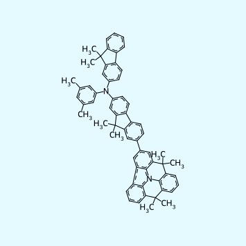 Cc1cc(C)cc(N(c2ccc3c(c2)C(C)(C)c2ccccc2-3)c2ccc3c(c2)C(C)(C)c2cc(-c4cc5c6c(c4)c4cccc7c4n6-c4c(cccc4C5(C)C)C7(C)C)ccc2-3)c1